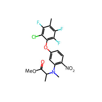 COC(=O)C(C)N(C)c1cc(Oc2c(F)c(F)c(C)c(F)c2Cl)ccc1[N+](=O)[O-]